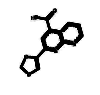 O=C(O)c1cc(C2=COCO2)nc2ncccc12